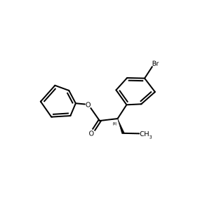 CC[C@@H](C(=O)Oc1ccccc1)c1ccc(Br)cc1